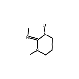 CCN1CCCN(C)/C1=N/C